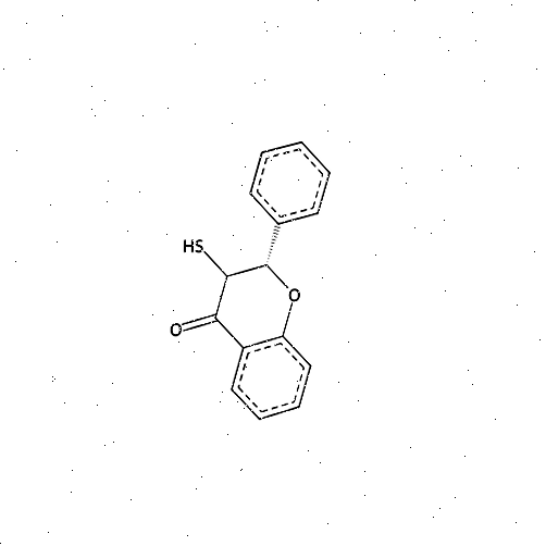 O=C1c2ccccc2O[C@@H](c2ccccc2)C1S